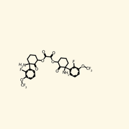 NC1(c2cccc(OC(F)(F)F)c2F)CCCC(OC(=O)C(=O)OC2CCCC(N)(c3cccc(OC(F)(F)F)c3F)C2=O)C1=O